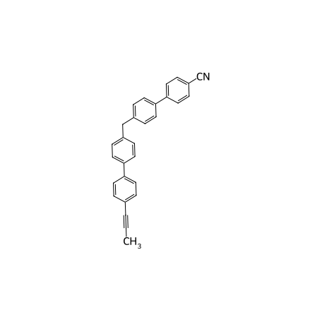 CC#Cc1ccc(-c2ccc(Cc3ccc(-c4ccc(C#N)cc4)cc3)cc2)cc1